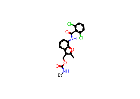 CCNC(=O)OCc1c(C)oc2c(NC(=O)c3c(Cl)cccc3Cl)cccc12